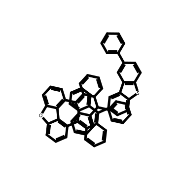 C1=CC2=C(c3cccc4oc5cccc(-c6c7ccccc7c(-c7ccc8sc9ccc(-c%10ccccc%10)cc9c8c7)c7ccccc67)c5c34)c3ccccc3C(c3ccccc3)C2C=C1